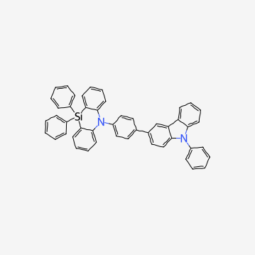 c1ccc(-n2c3ccccc3c3cc(-c4ccc(N5c6ccccc6[Si](c6ccccc6)(c6ccccc6)c6ccccc65)cc4)ccc32)cc1